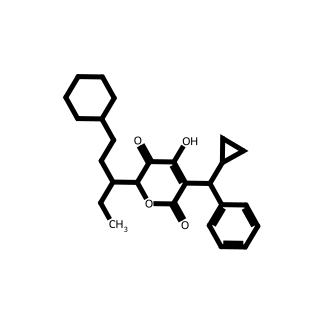 CCC(CCC1CCCCC1)C1OC(=O)C(C(c2ccccc2)C2CC2)=C(O)C1=O